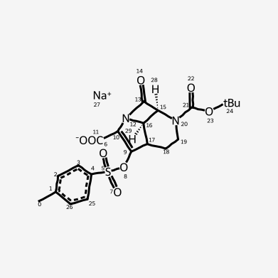 Cc1ccc(S(=O)(=O)OC2=C(C(=O)[O-])N3C(=O)[C@@H]4[C@H]3C2CCN4C(=O)OC(C)(C)C)cc1.[Na+]